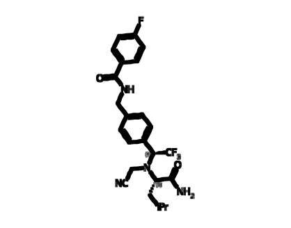 CC(C)C[C@@H](C(N)=O)N(CC#N)[C@@H](c1ccc(CNC(=O)c2ccc(F)cc2)cc1)C(F)(F)F